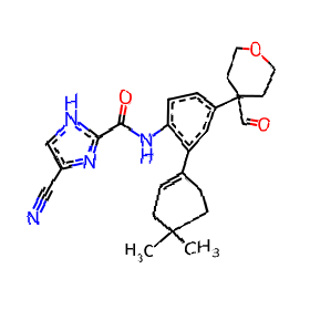 CC1(C)CC=C(c2cc(C3(C=O)CCOCC3)ccc2NC(=O)c2nc(C#N)c[nH]2)CC1